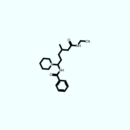 CC(CCC(NC(=O)c1ccccc1)N1CCCCC1)CC(=O)NCC#N